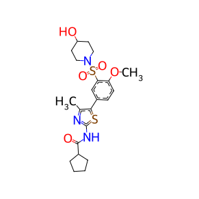 COc1ccc(-c2sc(NC(=O)C3CCCC3)nc2C)cc1S(=O)(=O)N1CCC(O)CC1